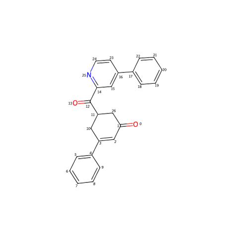 O=C1C=C(c2ccccc2)CC(C(=O)c2cc(-c3ccccc3)ccn2)C1